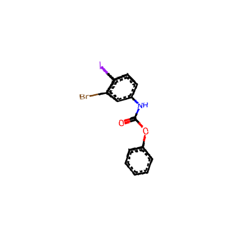 O=C(Nc1ccc(I)c(Br)c1)Oc1ccccc1